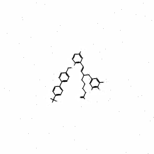 O=C(O)CCCCC(/C=C/c1cc(F)ccc1OCc1ccc(-c2ccc(C(F)(F)F)cc2)cc1)Cc1cc(F)c(O)c(F)c1